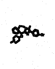 Cc1c(-c2ccc(Br)cc2)nc2n1CCc1ccccc1C2OC1CCN(C)CC1